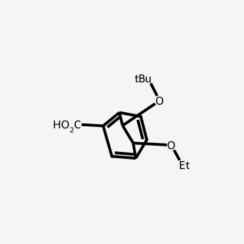 CCOC1c2ccc(c(C(=O)O)c2)C1OC(C)(C)C